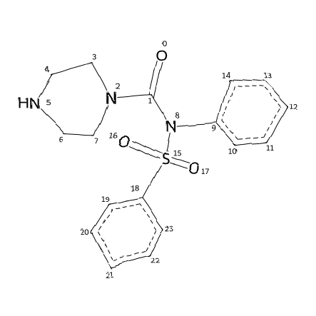 O=C(N1CCNCC1)N(c1ccccc1)S(=O)(=O)c1ccccc1